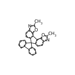 Cc1nc2ccc3c(c2o1)-c1c(ccc2nc(C)oc12)C31c2ccccc2-c2ccccc21